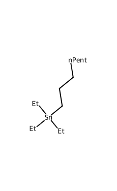 CCCCCCC[CH2][Sn]([CH2]C)([CH2]C)[CH2]C